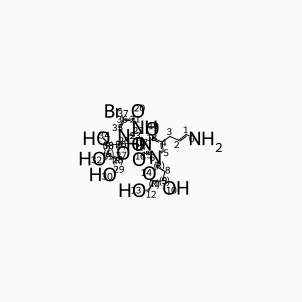 NC=CCc1cn([C@H]2C[C@H](O)[C@@H](CO)O2)c(=O)[nH]c1=O.O=c1[nH]c(=O)n([C@@H]2O[C@H](CO)[C@@H](O)[C@H]2O)cc1Br